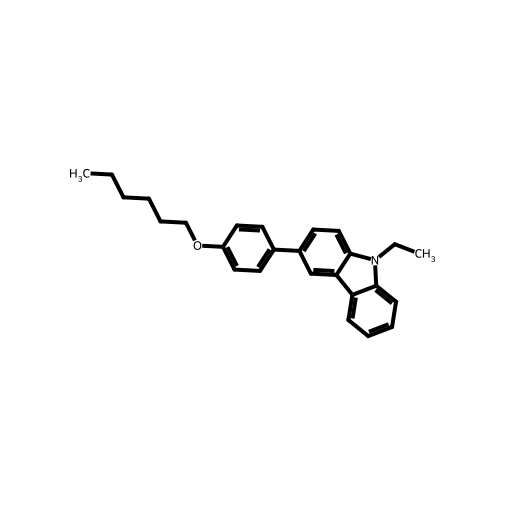 CCCCCCOc1ccc(-c2ccc3c(c2)c2ccccc2n3CC)cc1